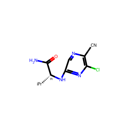 CC(C)[C@@H](Nc1cnc(C#N)c(Cl)n1)C(N)=O